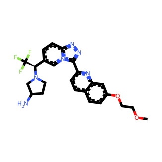 COCCOc1ccc2ccc(-c3nnc4ccc([C@@H](N5CCC(N)C5)C(F)(F)F)cn34)nc2c1